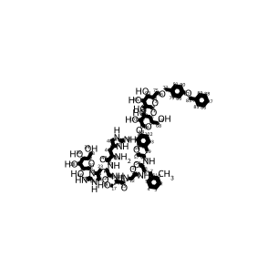 Cc1ccccc1C[C@H](NC(=O)CNC(=O)[C@H](CO)NC(=O)[C@H](CC1CNC(=N)N1C1OC(CO)C(O)C(O)C1O)NC(=O)[C@@H](N)CC1CNC(=N)N1)C(=O)N[C@H]([C]=O)Cc1ccc(OC2OC(CO)C(OC3OC(COCc4ccc(OCc5ccccc5)cc4)C(O)C(O)C3O)C(O)C2O)cc1